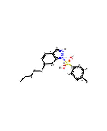 CCCCCC1C=Cc2[c]nn(S(=O)(=O)c3ccc(C)cc3)c2C1